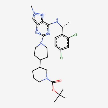 C[C@@H](Nc1nc(N2CCC(C3CCCN(C(=O)OC(C)(C)C)C3)CC2)nc2cn(C)nc12)c1ccc(Cl)cc1Cl